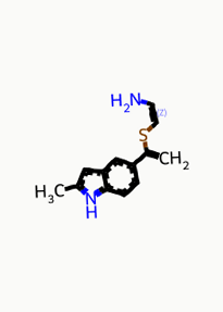 C=C(S/C=C\N)c1ccc2[nH]c(C)cc2c1